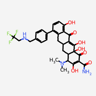 CN(C)C1C(O)=C(C(N)=O)C(=O)C2(O)C(O)=C3C(=O)c4c(O)ccc(-c5ccc(CNCC(F)(F)F)cc5)c4CC3CC12